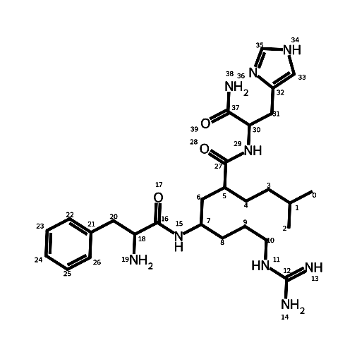 CC(C)CCC(CC(CCCNC(=N)N)NC(=O)C(N)Cc1ccccc1)C(=O)NC(Cc1c[nH]cn1)C(N)=O